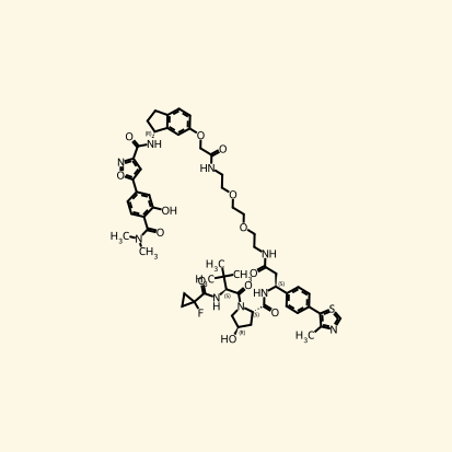 Cc1ncsc1-c1ccc([C@H](CC(=O)NCCOCCOCCNC(=O)COc2ccc3c(c2)[C@H](NC(=O)c2cc(-c4ccc(C(=O)N(C)C)c(O)c4)on2)CC3)NC(=O)[C@@H]2C[C@@H](O)CN2C(=O)[C@@H](NC(=O)C2(F)CC2)C(C)(C)C)cc1